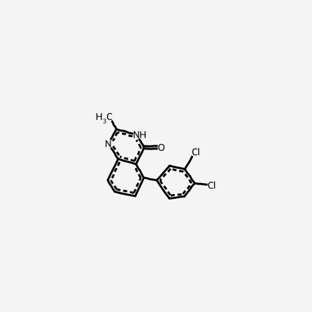 Cc1nc2cccc(-c3ccc(Cl)c(Cl)c3)c2c(=O)[nH]1